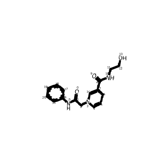 O=C(CN1C=CCC(C(=O)NCCO)=C1)Nc1ccccc1